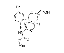 CC(C)(C)OC(=O)NC1=N[C@@]2(c3cc(Br)ccc3F)CO[C@@H](CO)C[C@H]2CS1